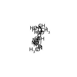 COc1cc(-c2cc(C(=O)NC3CCC(NC(=O)C(C)(C)CN(C)CCO)CC3)c3c(N)ncnn23)ccn1